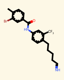 Cc1ccc(C(=O)Nc2ccc(CCCCC=N)c(C(F)(F)F)c2)cc1Br